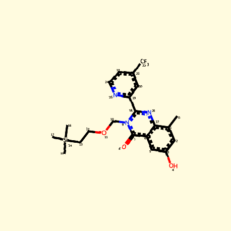 Cc1cc(O)cc2c(=O)n(COCC[Si](C)(C)C)c(-c3cc(C(F)(F)F)ccn3)nc12